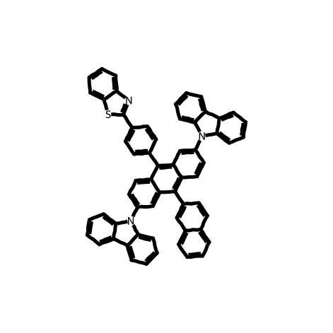 c1ccc2cc(-c3c4ccc(-n5c6ccccc6c6ccccc65)cc4c(-c4ccc(-c5nc6ccccc6s5)cc4)c4ccc(-n5c6ccccc6c6ccccc65)cc34)ccc2c1